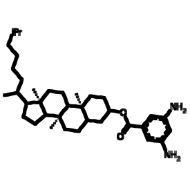 CC(C)CCCCC(C)C1CCC2[C@]3(C)CCC4CC(OC(=O)c5cc(N)cc(N)c5)CC[C@]4(C)C3CC[C@]12C